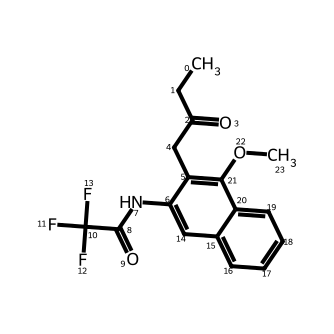 CCC(=O)Cc1c(NC(=O)C(F)(F)F)cc2ccccc2c1OC